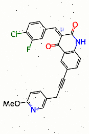 COc1ccc(CC#Cc2ccc3c(c2)C(=O)/C(=C\c2ccc(Cl)c(F)c2)C(=O)N3)cn1